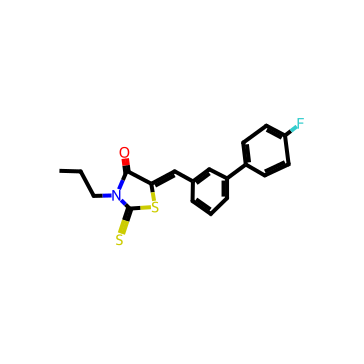 CCCN1C(=O)/C(=C/c2cccc(-c3ccc(F)cc3)c2)SC1=S